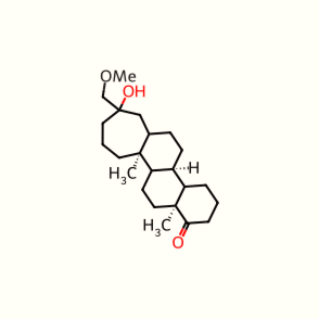 COCC1(O)CCC[C@@]2(C)C(CC[C@@H]3C2CC[C@]2(C)C(=O)CCCC32)C1